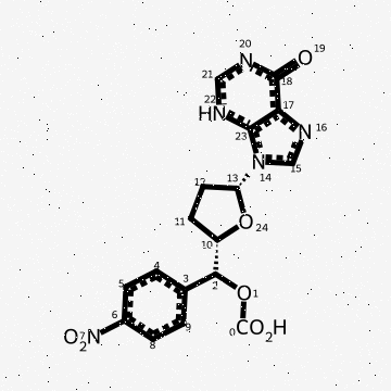 O=C(O)OC(c1ccc([N+](=O)[O-])cc1)[C@@H]1CC[C@H](n2cnc3c(=O)nc[nH]c32)O1